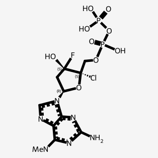 CNc1nc(N)nc2c1ncn2[C@H]1C[C@](O)(F)[C@@](Cl)(COP(=O)(O)OP(=O)(O)O)O1